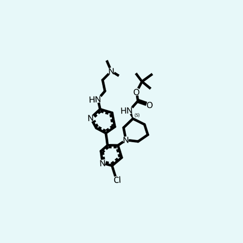 CN(C)CCNc1ccc(-c2cnc(Cl)cc2N2CCC[C@H](NC(=O)OC(C)(C)C)C2)cn1